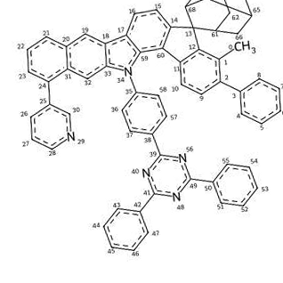 Cc1c(-c2ccccc2)ccc2c1C1(c3ccc4c5cc6cccc(-c7cccnc7)c6cc5n(-c5ccc(-c6nc(-c7ccccc7)nc(-c7ccccc7)n6)cc5)c4c3-2)C2CC3CC(C2)CC1C3